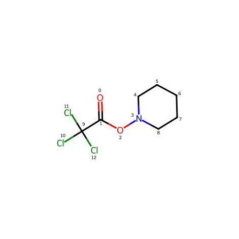 O=C(ON1CCCCC1)C(Cl)(Cl)Cl